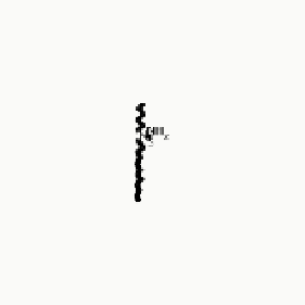 CCCCCCCCCCCCN(CCCCCC)C(N)=S